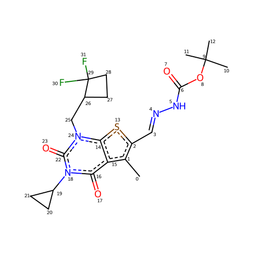 Cc1c(C=NNC(=O)OC(C)(C)C)sc2c1c(=O)n(C1CC1)c(=O)n2CC1CCC1(F)F